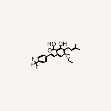 CCOc1cc(C=Cc2ccc(C(F)(F)F)cc2)c(C(=O)O)c(O)c1CC=C(C)C